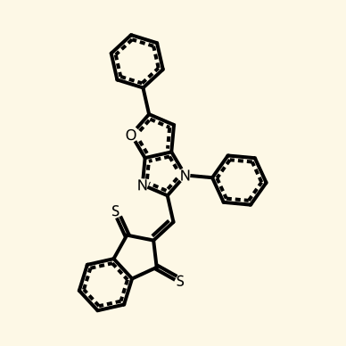 S=C1C(=Cc2nc3oc(-c4ccccc4)cc3n2-c2ccccc2)C(=S)c2ccccc21